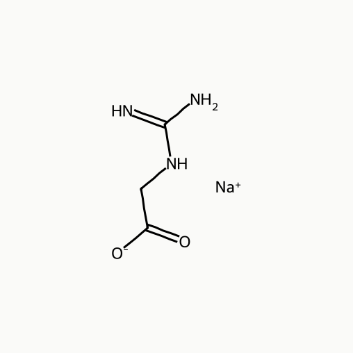 N=C(N)NCC(=O)[O-].[Na+]